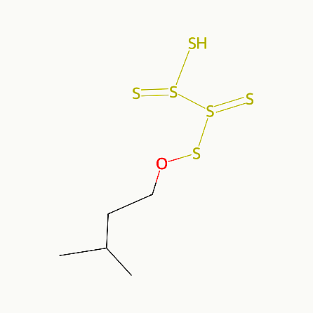 CC(C)CCOSS(=S)S(=S)S